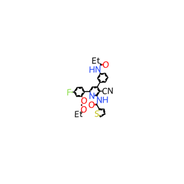 [CH2]CC(=O)Nc1cccc(-c2cc(-c3ccc(F)cc3OCOCC)nc(NC(=O)c3cccs3)c2C#N)c1